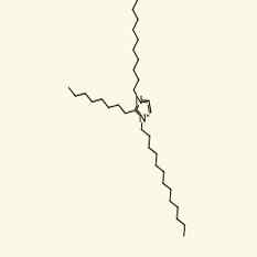 CCCCCCCCCCCCC[n+]1ccn(CCCCCCCCCCC)c1CCCCCCCC